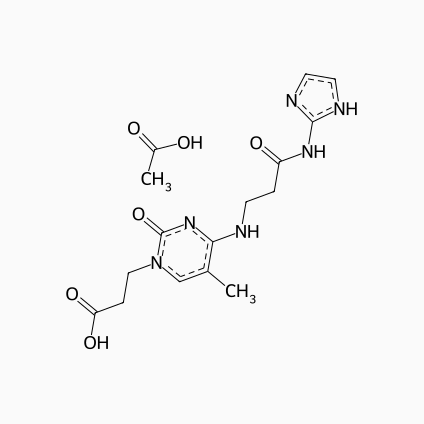 CC(=O)O.Cc1cn(CCC(=O)O)c(=O)nc1NCCC(=O)Nc1ncc[nH]1